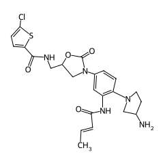 C/C=C/C(=O)Nc1cc(N2CC(CNC(=O)c3ccc(Cl)s3)OC2=O)ccc1N1CCC(N)C1